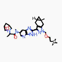 CC(C(=O)N(C)c1cnc2[nH]c(-c3nn(COCC[Si](C)(C)C)c4c3C[C@@H]3C[C@]3(C)C4)nc2c1)N1CC2CC(C1)O2